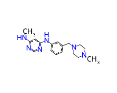 CNc1cc(Nc2cccc(CN3CCN(C)CC3)c2)ncn1